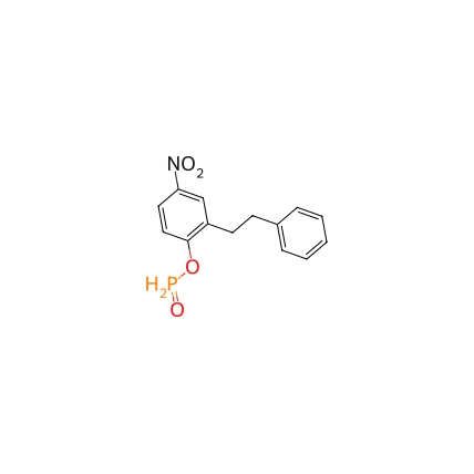 O=[PH2]Oc1ccc([N+](=O)[O-])cc1CCc1ccccc1